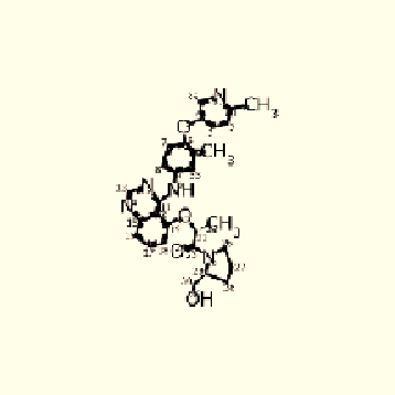 Cc1ccc(Oc2ccc(Nc3ncnc4cccc(O[C@H](C)C(=O)N5CCC[C@H]5CO)c34)cc2C)cn1